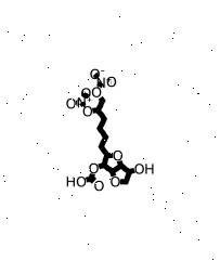 O=C(O)OC1C(CCCCC(CO[N+](=O)[O-])O[N+](=O)[O-])OC2C(O)COC21